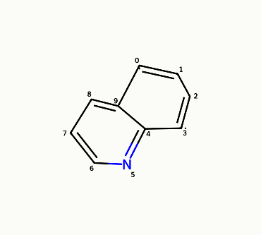 [c]1cc[c]c2ncccc12